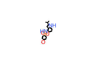 COc1ccc(S(=O)(=O)Nc2cccc3[nH]c(C(C)C)cc23)cc1